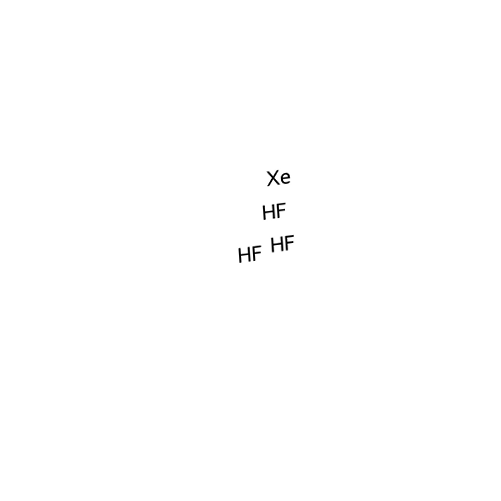 F.F.F.[Xe]